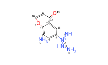 N.N=[N+](NN)c1ccc2o[c]cc(=O)c2c1